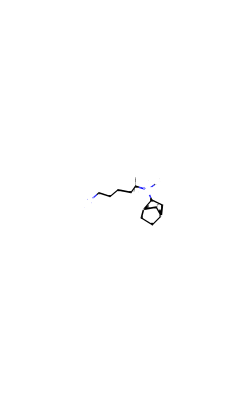 CC(=O)N(C1CC2CCC1C2)[C@@H](CCCCN)C(=O)O